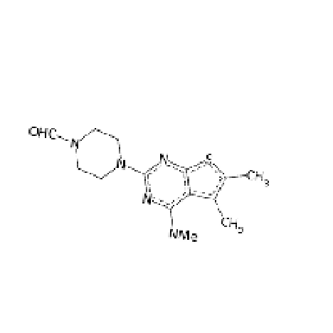 CNc1nc(N2CCN(C=O)CC2)nc2sc(C)c(C)c12